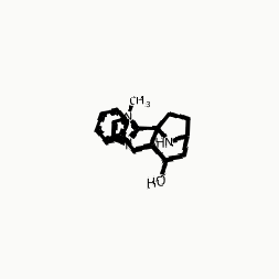 Cn1ccnc1C12CCC(CC(O)C1Cc1ccccc1)N2